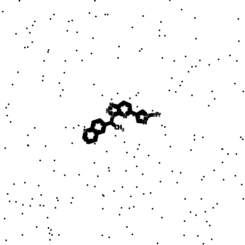 CCCn1cc(-c2ccc3nnn(C(C)c4ccc5ncccc5c4)c3n2)cn1